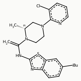 C=C(Nc1nc2ccc(C(C)CC)cc2s1)N1CCN(c2ncccc2Cl)C[C@H]1C